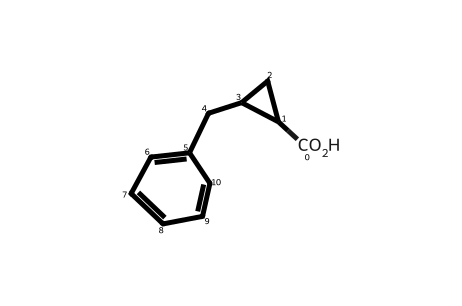 O=C(O)C1CC1Cc1ccccc1